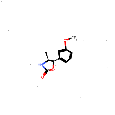 C[C@@H]1NC(=O)O[C@@H]1c1cccc(OC(F)(F)F)c1